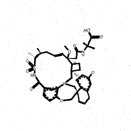 CO[C@@]1(CC(=O)NC(C)(C)C(=O)O)/C=C/C[C@H](C)[C@@H](C)S(=O)(=O)NC(=O)c2ccc3c(c2)N(C[C@@H]2CC[C@H]21)C[C@@]1(CCCc2cc(Cl)ccc21)CO3